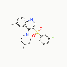 Cc1ccc2ncc(S(=O)(=O)c3cccc(F)c3)c(N3CCC(C)CC3)c2c1